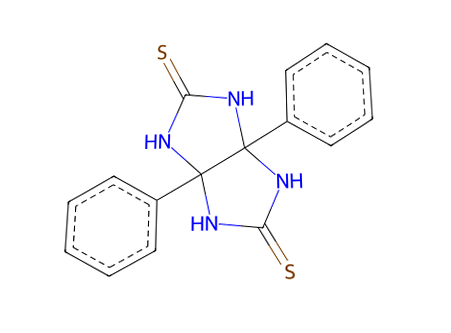 S=C1NC2(c3ccccc3)NC(=S)NC2(c2ccccc2)N1